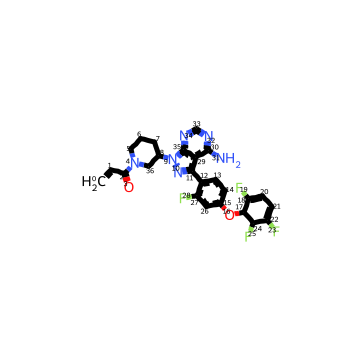 C=CC(=O)N1CCCC(n2nc(-c3ccc(OC4C(F)=CC=C(F)C4F)cc3F)c3c(N)ncnc32)C1